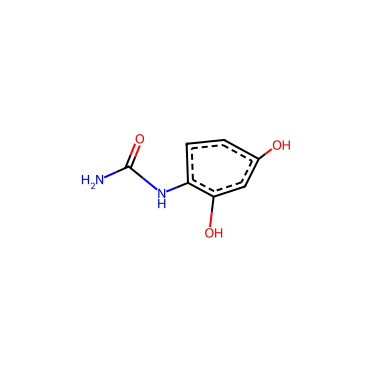 NC(=O)Nc1ccc(O)cc1O